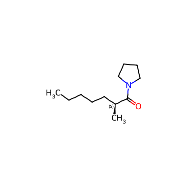 CCCCC[C@H](C)C(=O)N1CCCC1